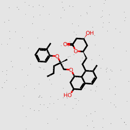 CCC[C@@](C)(COC1CC(O)C=C2C=CC(C)C(CC[C@@H]3C[C@@H](O)CC(=O)O3)C21)Oc1ccccc1C